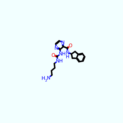 NCCCCNC(=O)Nc1nccnc1C(=O)NC1Cc2ccccc2C1